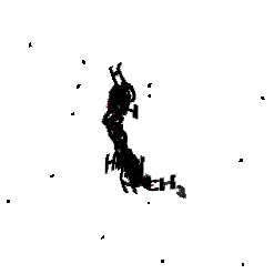 CCCn1cc(-c2nc(Nc3ccc(NC(=O)CCOCCOCCOCCOCCOCCNc4cccc5c4C(=O)N(C4CCC(=O)NC4=O)C5=O)cc3)nc3[nH]ccc23)cn1